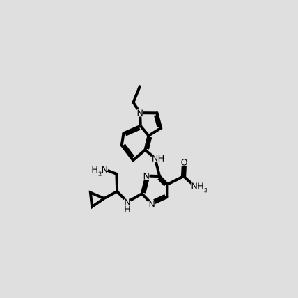 CCn1ccc2c(Nc3nc(NC(CN)C4CC4)ncc3C(N)=O)cccc21